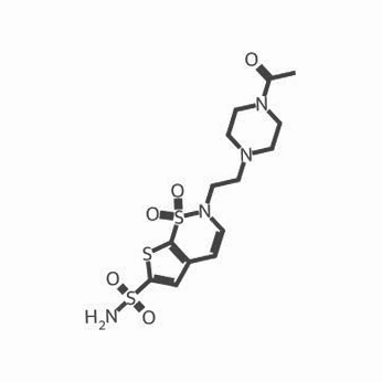 CC(=O)N1CCN(CCN2C=Cc3cc(S(N)(=O)=O)sc3S2(=O)=O)CC1